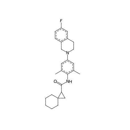 Cc1cc(N2CCc3cc(F)ccc3C2)cc(C)c1NC(=O)C1CC12CCCCC2